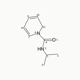 CC(C)NC(=O)N1C=CC=CC1